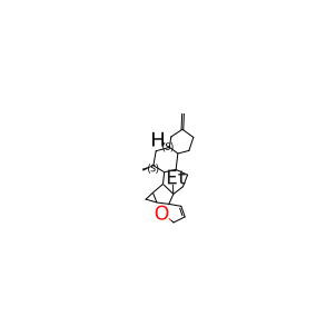 C=C1CCC2C3CCC4(CC)C(C5CC5C45C=CCO5)C3[C@@H](C)C[C@H]2C1